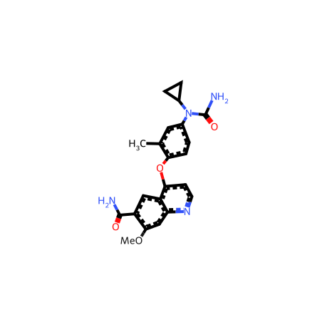 COc1cc2nccc(Oc3ccc(N(C(N)=O)C4CC4)cc3C)c2cc1C(N)=O